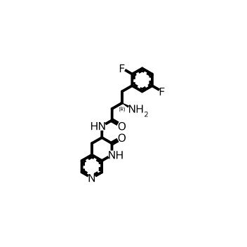 N[C@@H](CC(=O)NC1Cc2ccncc2NC1=O)Cc1cc(F)ccc1F